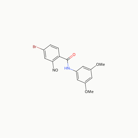 COc1cc(NC(=O)c2ccc(Br)cc2N=O)cc(OC)c1